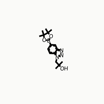 CC(C)(O)Cn1nnc2cc(B3OC(C)(C)C(C)(C)O3)ccc21